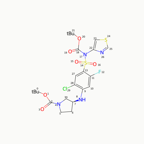 CC(C)(C)OC(=O)N1CC[C@H](Nc2cc(F)c(S(=O)(=O)N(C(=O)OC(C)(C)C)c3cscn3)cc2Cl)C1